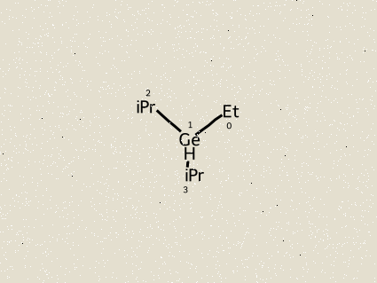 C[CH2][GeH]([CH](C)C)[CH](C)C